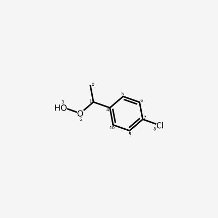 CC(OO)c1ccc(Cl)cc1